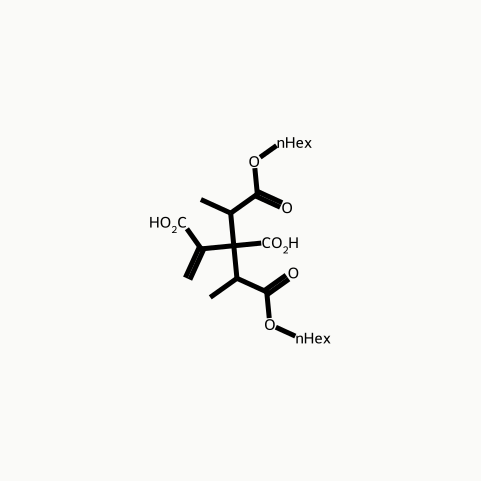 C=C(C(=O)O)C(C(=O)O)(C(C)C(=O)OCCCCCC)C(C)C(=O)OCCCCCC